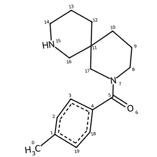 Cc1ccc(C(=O)N2CCCC3(CCCNC3)C2)cc1